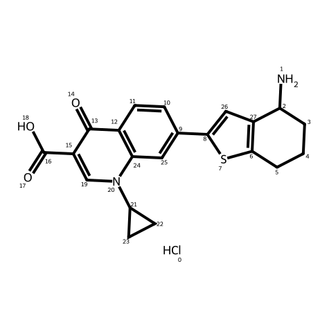 Cl.NC1CCCc2sc(-c3ccc4c(=O)c(C(=O)O)cn(C5CC5)c4c3)cc21